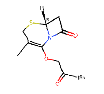 CC1=C(OCC(=O)C(C)(C)C)N2C(=O)C[C@H]2SC1